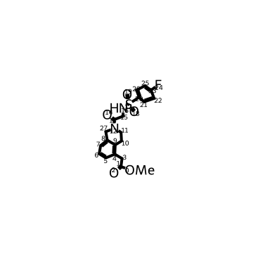 COC(=O)Cc1cccc2c1CCN(C(=O)CNS(=O)(=O)c1ccc(F)cc1)C2